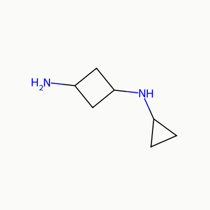 NC1CC(NC2CC2)C1